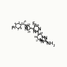 CC(c1ccc(F)cc1)n1cc(-c2nc(-c3ccn4nc(N)nc4c3)ncc2F)cn1